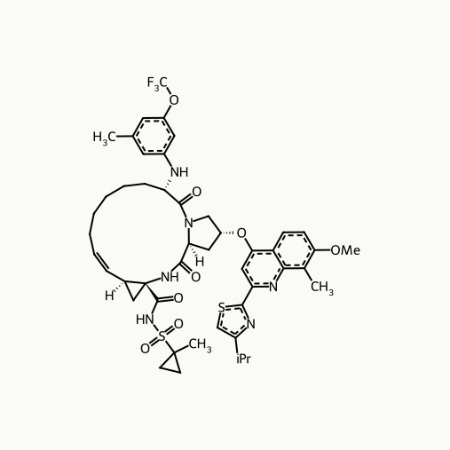 COc1ccc2c(O[C@@H]3C[C@H]4C(=O)N[C@]5(C(=O)NS(=O)(=O)C6(C)CC6)C[C@H]5/C=C\CCCCC[C@H](Nc5cc(C)cc(OC(F)(F)F)c5)C(=O)N4C3)cc(-c3nc(C(C)C)cs3)nc2c1C